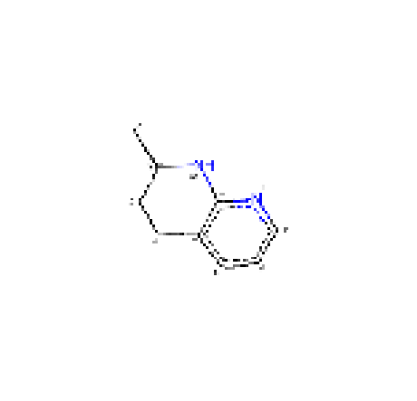 CC1CCc2cccnc2N1